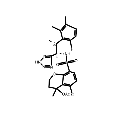 CC(=O)OC1(C)CCOc2c(S(=O)(=O)N[C@H](c3nn[nH]n3)[C@H](C)c3c(F)ccc(C)c3C)ccc(Cl)c21